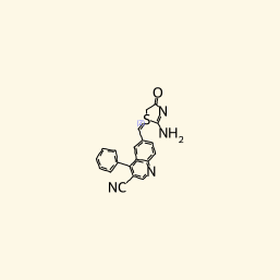 N#Cc1cnc2ccc(/C=S3/CC(=O)N=C3N)cc2c1-c1ccccc1